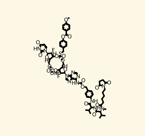 COc1ccc(C(=O)Oc2ccc(CSP3(=O)OC[C@H]4O[C@@H](n5cnc6c(NC(=O)OCc7ccc(NC(=O)C(NC(=O)C(C(C)C)N(C)C(=O)CCCCCN8C(=O)CCC8=O)C(C)C)cc7)ncnc65)[C@H](F)[C@@H]4OP(=O)(O)OC[C@H]4O[C@@H](n5ccc(=O)[nH]c5=O)[C@H](F)[C@@H]4O3)cc2)cc1